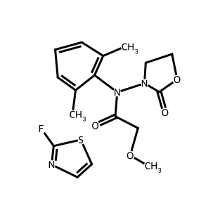 COCC(=O)N(c1c(C)cccc1C)N1CCOC1=O.Fc1nccs1